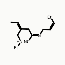 C/C=C(\CNCC)C/C(C#N)=N\C/C=C\CC